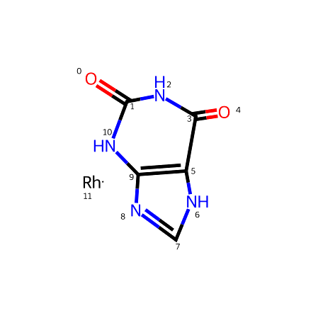 O=c1[nH]c(=O)c2[nH]cnc2[nH]1.[Rh]